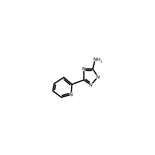 NC1=NC(c2ccccn2)=N[N]1